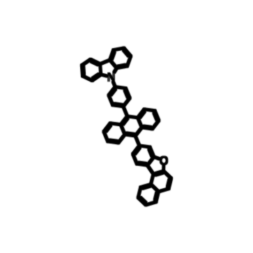 c1ccc2c(c1)ccc1oc3cc(-c4c5ccccc5c(-c5ccc(-n6c7ccccc7c7ccccc76)cc5)c5ccccc45)ccc3c12